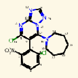 O=[N+]([O-])c1cccc(Cl)c1-c1c(Cl)nc2ncnn2c1N1CCCCCC1